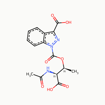 CC(=O)N[C@H](C(=O)O)[C@H](C)OC(=O)n1nc(C(=O)O)c2ccccc21